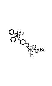 [2H][C@@](C)(COC1CCC(CO[Si](c2ccccc2)(c2ccccc2)C(C)(C)C)CC1)NC(=O)OC(C)(C)C